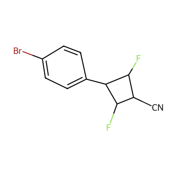 N#CC1C(F)C(c2ccc(Br)cc2)C1F